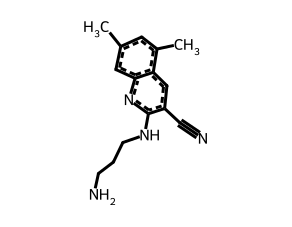 Cc1cc(C)c2cc(C#N)c(NCCCN)nc2c1